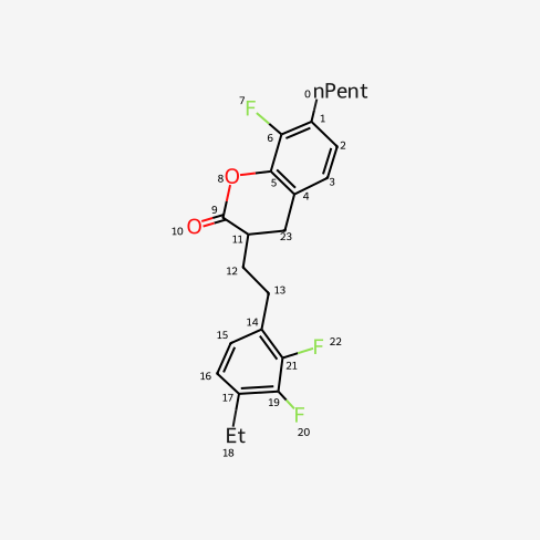 CCCCCc1ccc2c(c1F)OC(=O)C(CCc1ccc(CC)c(F)c1F)C2